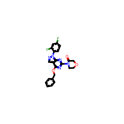 O=C1COCCN1c1nc(OCc2ccccc2)c2cnn(-c3ccc(F)cc3F)c2n1